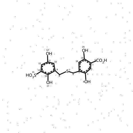 O=C(O)c1cc(O)c(CSCc2cc(O)cc(S(=O)(=O)O)c2O)cc1O